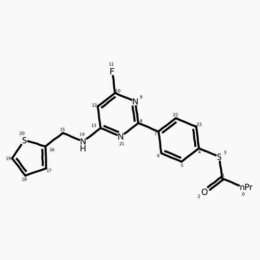 CCCC(=O)Sc1ccc(-c2nc(F)cc(NCc3cccs3)n2)cc1